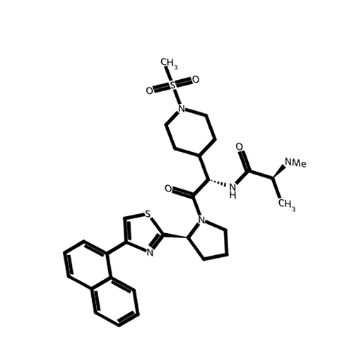 CN[C@@H](C)C(=O)N[C@H](C(=O)N1CCC[C@H]1c1nc(-c2cccc3ccccc23)cs1)C1CCN(S(C)(=O)=O)CC1